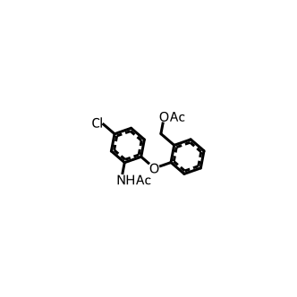 CC(=O)Nc1cc(Cl)ccc1Oc1ccccc1COC(C)=O